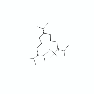 CC(C)N(CCCN(C(C)C)C(C)C)CCCN(C(C)C)C(C)(C)C